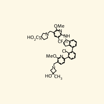 COc1nc(-c2cccc(-c3cccc4c3CC[C@@H]4Nc3nc(OC)c(CN4CC[C@@H](C(=O)O)C4)cc3C(F)(F)F)c2Cl)ccc1CN1CC(C)(O)C1